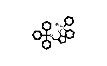 CC(C)(C)[Si](OC1CCC=C1COC(c1ccccc1)(c1ccccc1)c1ccccc1)(c1ccccc1)c1ccccc1